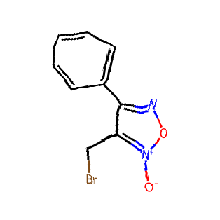 [O-][n+]1onc(-c2ccccc2)c1CBr